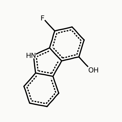 Oc1ccc(F)c2[nH]c3ccccc3c12